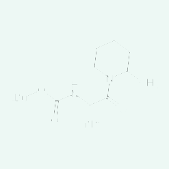 CCC[C@H](NC(=O)OC(C)(C)C)C(=O)N1CCCCC1C